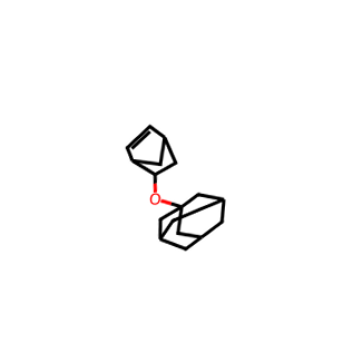 C1=CC2CC1CC2OC12CC3CC(CC(C3)C1)C2